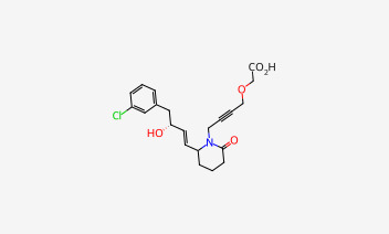 O=C(O)COCC#CCN1C(=O)CCCC1/C=C/[C@H](O)Cc1cccc(Cl)c1